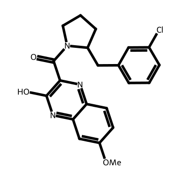 COc1ccc2nc(C(=O)N3CCCC3Cc3cccc(Cl)c3)c(O)nc2c1